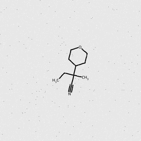 CCC(C)(C#N)C1CCOCC1